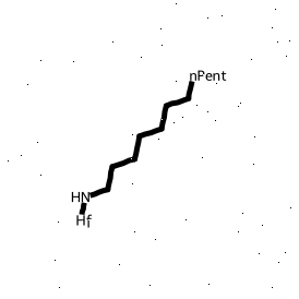 CCCCCCCCCCCC[NH][Hf]